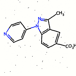 Cc1nn(-c2ccncc2)c2ccc(C(=O)O)cc12